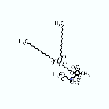 CCCCCCCCCCCCCCCC(=O)OCC(COC(=O)CCCCCCCCCCCCCCC)OC(=O)CCCCOc1c(C/C=C(\C)CCC(=O)OC)c(OC)c(C)c2c1C(=O)OC2